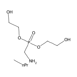 CCCC.NCP(=O)(OCCO)OCCO